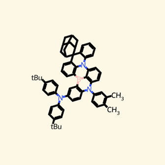 Cc1ccc(N2c3ccc(N(c4ccc(C(C)(C)C)cc4)c4ccc(C(C)(C)C)cc4)cc3B3c4cccc5c4N(c4ccccc4C54C5CC6CC(C5)CC4C6)c4cccc2c43)cc1C